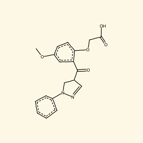 COc1ccc(OCC(=O)O)c(C(=O)C2C=NN(c3ccccc3)C2)c1